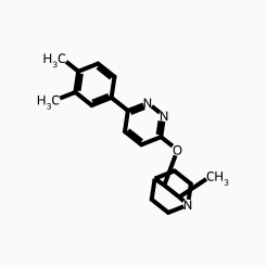 Cc1ccc(-c2ccc(OC3C4CCN(CC4)C3C)nn2)cc1C